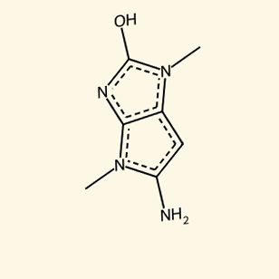 Cn1c(O)nc2c1cc(N)n2C